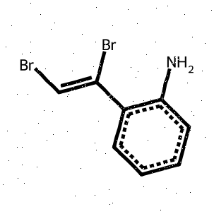 Nc1ccccc1/C(Br)=C/Br